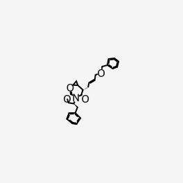 O=C1OC[C@H](Cc2ccccc2)N1C(=O)[C@@H](C/C=C/COCc1ccccc1)C1CC1